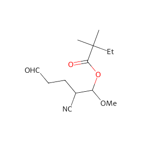 CCC(C)(C)C(=O)OC(OC)C(C#N)CCC=O